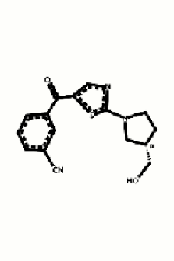 N#Cc1cccc(C(=O)c2cnc(N3CC[C@H](CO)C3)s2)c1